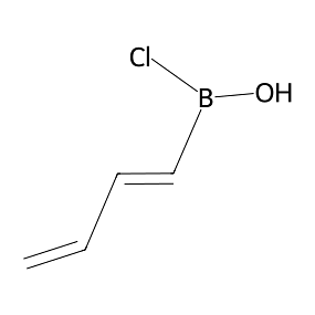 C=CC=CB(O)Cl